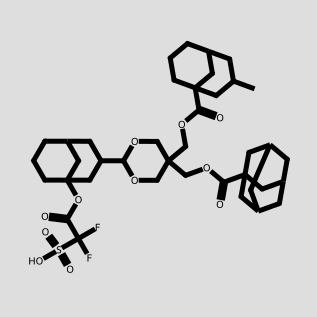 CC1CC2CCCC(C(=O)OCC3(COC(=O)C45CC6CC(CC(C6)C4)C5)COC(C4CC5CCCC(OC(=O)C(F)(F)S(=O)(=O)O)(C5)C4)OC3)(C1)C2